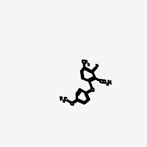 O=C(O)c1c(Oc2ccc(OC(F)(F)F)cc2)ccc(C(F)(F)F)c1F